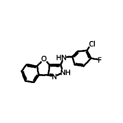 Fc1ccc(Nc2[nH]nc3c2oc2ccccc23)cc1Cl